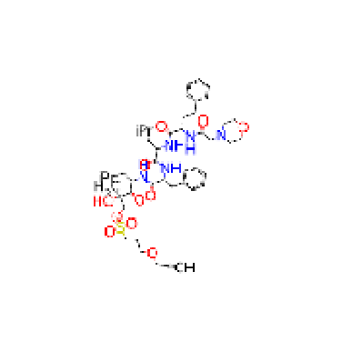 C#CCOCCCS(=O)(=O)OCC(C)(O)C(=O)C(CC(C)C)NC(=O)[C@H](Cc1ccccc1)NC(=O)C(CC(C)C)NC(=O)[C@H](CCc1ccccc1)NC(=O)CN1CCOCC1